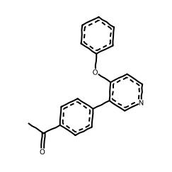 CC(=O)c1ccc(-c2cnccc2Oc2ccccc2)cc1